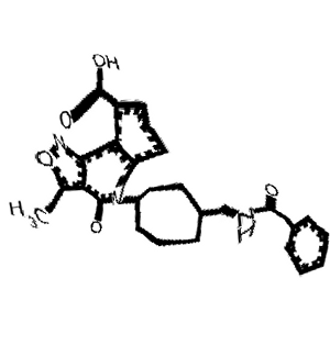 Cc1onc2c1c(=O)n(C1CCCC(CNC(=O)c3ccccc3)C1)c1cccc(C(=O)O)c21